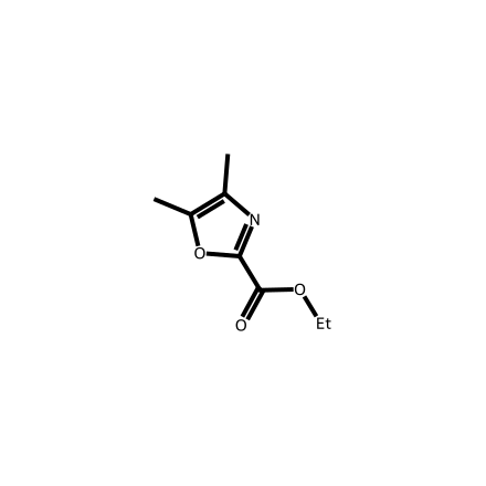 CCOC(=O)c1nc(C)c(C)o1